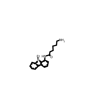 CCn1c2ccccc2c2cccc(NC(=O)CCCCCN)c21